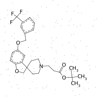 CC(C)(C)OC(=O)CCN1CCC2(CC1)COc1ccc(OCc3cccc(C(F)(F)F)c3)cc12